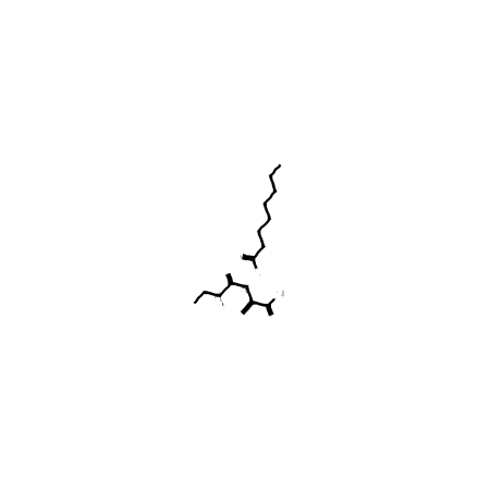 C=C(C(N)=O)[C@@H](NC(=O)CCCCCCC)C(=O)[C@@H](Cl)CC